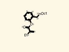 C=C(CC)C(=O)Oc1ccccc1CCCCCCCCC